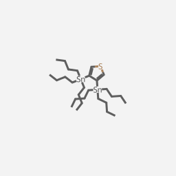 CCC[CH2][Sn]([CH2]CCC)([CH2]CCC)[c]1csc[c]1[Sn]([CH2]CCC)([CH2]CCC)[CH2]CCC